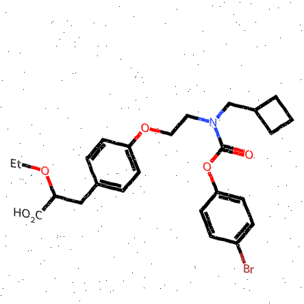 CCOC(Cc1ccc(OCCN(CC2CCC2)C(=O)Oc2ccc(Br)cc2)cc1)C(=O)O